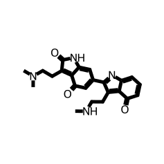 CNCCC1=C2C(=O)C=CC=C2N=C1C1=CC(=O)C2=C(CCN(C)C)C(=O)NC2=C1